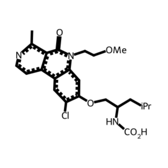 COCCn1c(=O)c2c(C)nccc2c2cc(Cl)c(OCC(CC(C)C)NC(=O)O)cc21